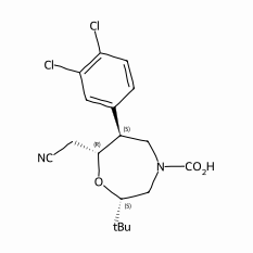 CC(C)(C)[C@H]1CN(C(=O)O)C[C@H](c2ccc(Cl)c(Cl)c2)[C@@H](CC#N)O1